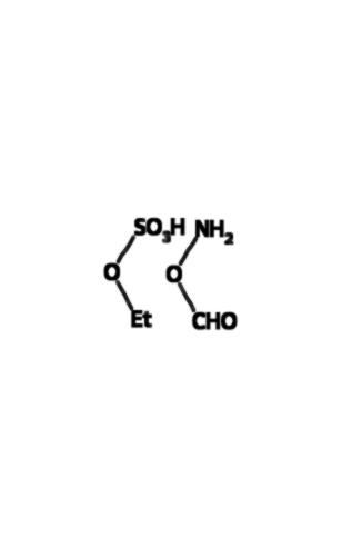 CCOS(=O)(=O)O.NOC=O